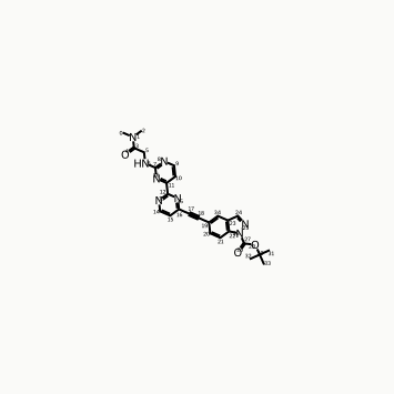 CN(C)C(=O)CNc1nccc(-c2nccc(C#Cc3ccc4c(cnn4C(=O)OC(C)(C)C)c3)n2)n1